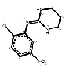 O=[N+]([O-])c1ccc(Cl)c(N=C2NCCCN2)c1